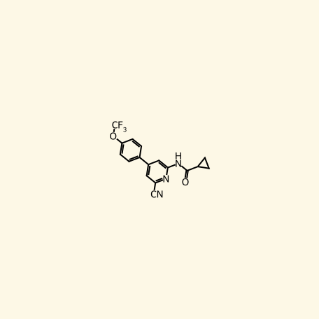 N#Cc1cc(-c2ccc(OC(F)(F)F)cc2)cc(NC(=O)C2CC2)n1